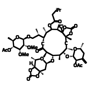 C=C1C[C@@H](C)O[C@@H](O[C@@H]2[C@@H](C)[C@H](O[C@H]3C[C@@]4(C)OC(=O)O[C@H]4[C@H](C)O3)[C@@H](C)C(=O)C[C@H]([C@@H](C)CO[C@@H]3O[C@H](C)[C@@H](OC(C)=O)[C@@H](OC)[C@H]3OC)[C@H](C)[C@@H](OC(=O)CC(C)C)[C@@H](C)C3(Cl)OC(=O)O[C@]3(C)C[C@@H]2C)[C@@H]1OC(C)=O